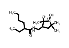 CCCCC(CC)C(=O)NCC1CC(C)(C)N(O)C1(C)C